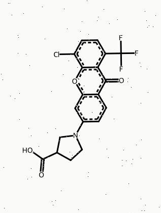 O=C(O)C1CCN(c2ccc3c(=O)c4c(C(F)(F)F)ccc(Cl)c4oc3c2)C1